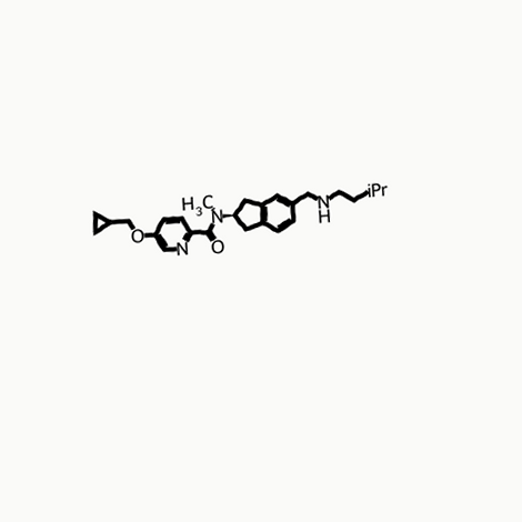 CC(C)CCNCc1ccc2c(c1)C[C@H](N(C)C(=O)c1ccc(OCC3CC3)cn1)C2